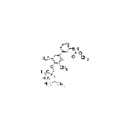 COC(=O)Nc1cc(-c2cc(C)c(OCC(C)(N)CC(C)C)c(C)n2)ccn1